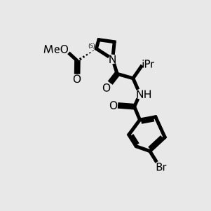 COC(=O)[C@@H]1CCN1C(=O)C(NC(=O)c1ccc(Br)cc1)C(C)C